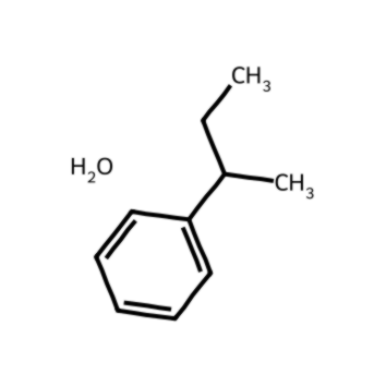 CCC(C)c1ccccc1.O